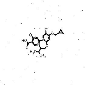 CC(C)C1COc2cc(OCC3CC3)c(Cl)cc2-c2cc(=O)c(C(=O)O)cn21